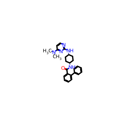 CN(C)c1ccnc(N[C@H]2CC[C@@H](NC(=O)c3ccccc3-c3ccccc3)CC2)n1